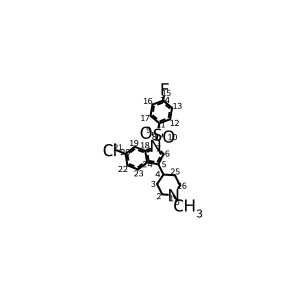 CN1CCC(c2cn(S(=O)(=O)c3ccc(F)cc3)c3cc(Cl)ccc23)CC1